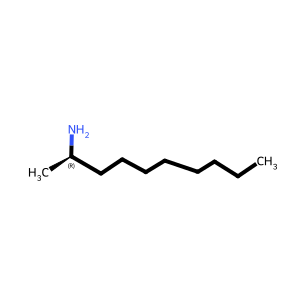 CCCCCCCC[C@@H](C)N